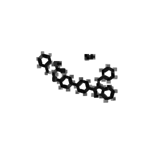 O=C(O)[C@@H](Cc1ccccc1)Oc1ccc(-c2ccc(-c3nc4cccnc4n3Cc3ccccc3)cc2)cc1.[NaH]